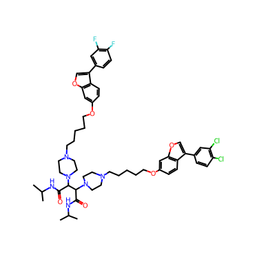 CC(C)NC(=O)C(C(C(=O)NC(C)C)N1CCN(CCCCCOc2ccc3c(-c4ccc(Cl)c(Cl)c4)coc3c2)CC1)N1CCN(CCCCCOc2ccc3c(-c4ccc(F)c(F)c4)coc3c2)CC1